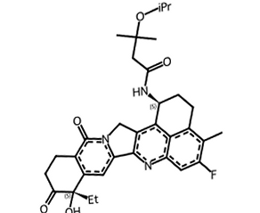 CC[C@@]1(O)C(=O)CCc2c1cc1n(c2=O)Cc2c-1nc1cc(F)c(C)c3c1c2[C@@H](NC(=O)CC(C)(C)OC(C)C)CC3